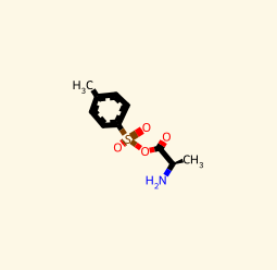 Cc1ccc(S(=O)(=O)OC(=O)[C@@H](C)N)cc1